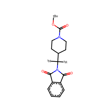 [2H]C([2H])(C1CCN(C(=O)OC(C)(C)C)CC1)N1C(=O)c2ccccc2C1=O